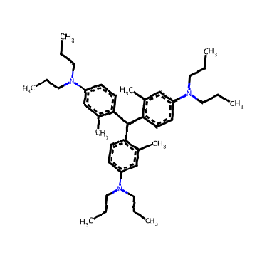 CCCN(CCC)c1ccc(C(c2ccc(N(CCC)CCC)cc2C)c2ccc(N(CCC)CCC)cc2C)c(C)c1